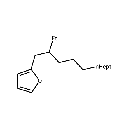 CCCCCCCCCCC(CC)Cc1ccco1